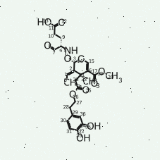 C/C=C1/[C@H](ON[C@H](C=O)CCC(=O)O)OC=C(C(=O)OC)[C@@]1(C)CC(=O)OCCc1ccc(O)c(O)c1